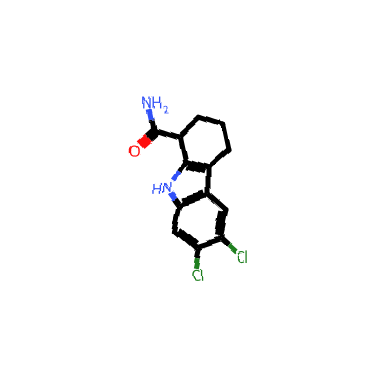 NC(=O)C1CCCc2c1[nH]c1cc(Cl)c(Cl)cc21